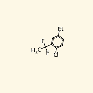 CCc1ccc(Cl)c(C(C)(F)F)c1